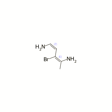 C/C(N)=C(Br)/C=C\N